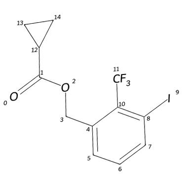 O=C(OCc1cccc(I)c1C(F)(F)F)C1CC1